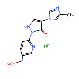 Cl.O=c1c(-n2cnc(C(F)(F)F)c2)c[nH]n1-c1ccc(CO)cn1